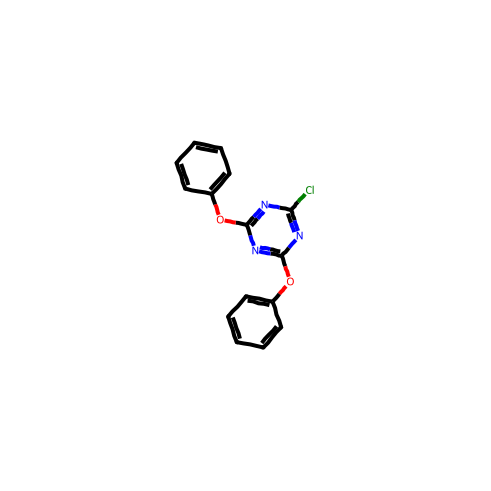 Clc1nc(Oc2ccccc2)nc(Oc2ccccc2)n1